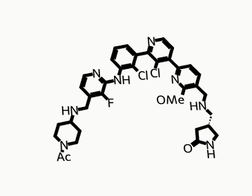 COc1nc(-c2ccnc(-c3cccc(Nc4nccc(CNC5CCN(C(C)=O)CC5)c4F)c3Cl)c2Cl)ccc1CNC[C@@H]1CNC(=O)C1